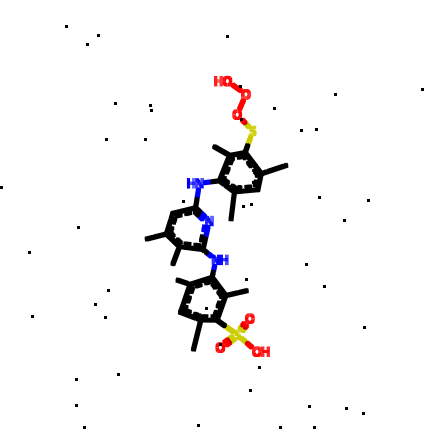 Cc1cc(Nc2c(C)cc(C)c(SOOO)c2C)nc(Nc2c(C)cc(C)c(S(=O)(=O)O)c2C)c1C